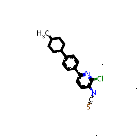 CC1CCC(c2ccc(-c3ccc(N=C=S)c(Cl)n3)cc2)CC1